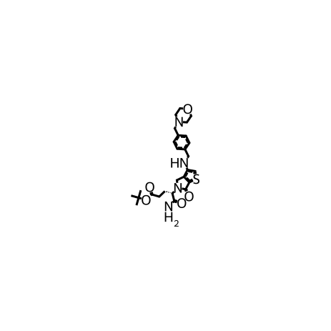 CC(C)(C)OC(=O)CC[C@@H](C(N)=O)N1Cc2c(NCc3ccc(CN4CCOCC4)cc3)csc2C1=O